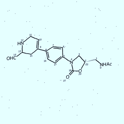 CC(=O)NC[C@H]1CN(c2ccc(C3=CCNC(C=O)C3)cc2)C(=O)O1